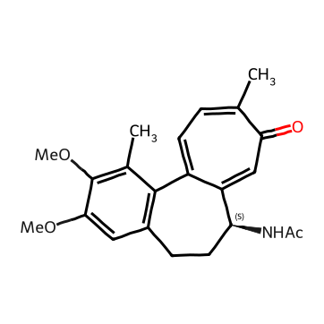 COc1cc2c(c(C)c1OC)-c1ccc(C)c(=O)cc1[C@@H](NC(C)=O)CC2